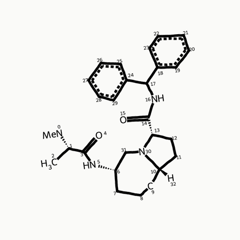 CN[C@@H](C)C(=O)N[C@H]1CCC[C@H]2CC[C@@H](C(=O)NC(c3ccccc3)c3ccccc3)N2C1